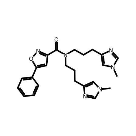 Cn1cnc(CCCN(CCCc2cn(C)cn2)C(=O)c2cc(-c3ccccc3)on2)c1